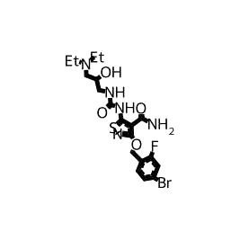 CCN(CC)CC(O)CNC(=O)Nc1snc(OCc2ccc(Br)cc2F)c1C(N)=O